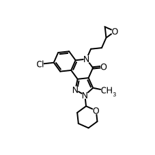 Cc1c2c(=O)n(CCC3CO3)c3ccc(Cl)cc3c2nn1C1CCCCO1